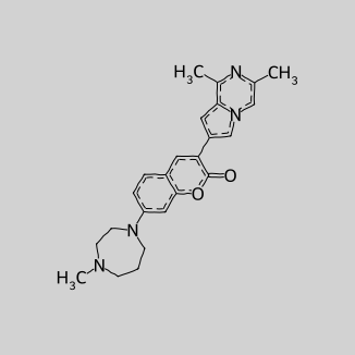 Cc1cn2cc(-c3cc4ccc(N5CCCN(C)CC5)cc4oc3=O)cc2c(C)n1